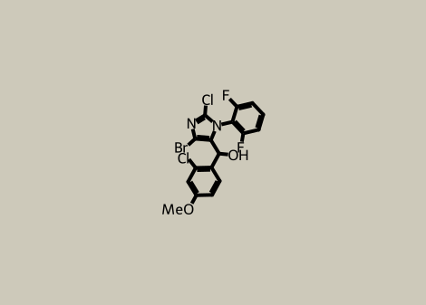 COc1ccc(C(O)c2c(Br)nc(Cl)n2-c2c(F)cccc2F)c(Cl)c1